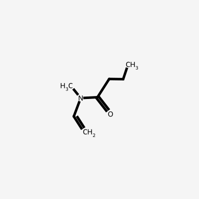 C=CN(C)C(=O)CCC